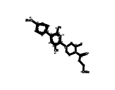 COCCC(=O)N1CCN(c2nc(C(C)C)c(-c3ccc(OC)cc3)cc2C#N)CC1C